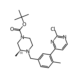 Cc1ccc(CN2CCN(C(=O)OC(C)(C)C)C[C@@H]2C)cc1-c1ccnc(Cl)n1